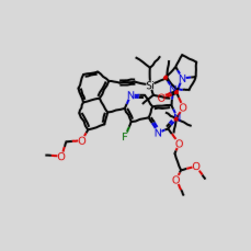 COCOc1cc(-c2ncc3c(N4CC5CCC(C4)N5C(=O)OC(C)(C)C)nc(OCC(OC)OC)nc3c2F)c2c(C#C[Si](C(C)C)(C(C)C)C(C)C)cccc2c1